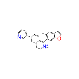 Cc1cc2ccoc2cc1-c1c2ccc(-c3cccnc3)cc2cc[n+]1C